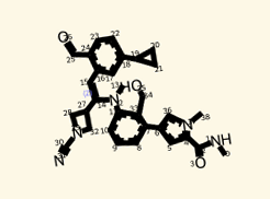 CNC(=O)c1cc(-c2cccc(N(C)/C(=C\c3cc(C4CC4)ccc3C=O)C3CN(C#N)C3)c2CO)cn1C